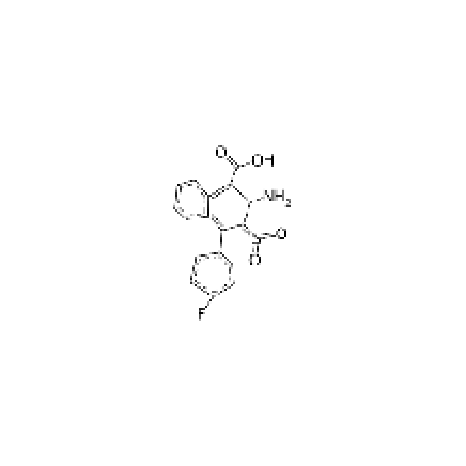 NC1C(C(=O)O)=c2ccccc2=C(c2ccc(F)cc2)C1=S(=O)=O